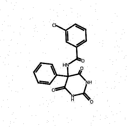 O=C1NC(=O)C(NC(=O)c2cccc(Cl)c2)(c2ccccc2)C(=O)N1